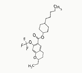 CCCCCC1CCC(OC(=O)c2cc3c(cc2OC(F)(F)F)OC(CC)CC3)CC1